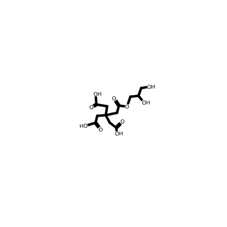 O=C(O)CC(CC(=O)O)(CC(=O)O)CC(=O)OCC(O)CO